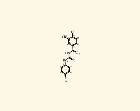 O=C(NC(=S)Nc1ccc(F)cc1)c1ccc(Cl)c(Cl)c1